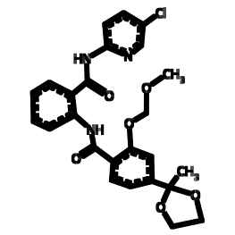 COCOc1cc(C2(C)OCCO2)ccc1C(=O)Nc1ccccc1C(=O)Nc1ccc(Cl)cn1